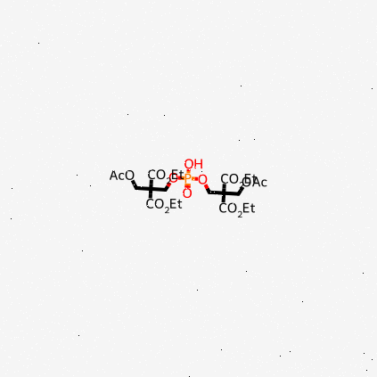 CCOC(=O)C(COC(C)=O)(COP(=O)(O)OCC(COC(C)=O)(C(=O)OCC)C(=O)OCC)C(=O)OCC